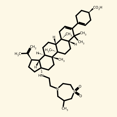 C=C(C)[C@@H]1CC[C@]2(NCCN3CCS(=O)(=O)CC(C)C3)CC[C@]3(C)[C@H](CC[C@@H]4[C@@]5(C)CC=C(C6=CC[C@H](C(=O)O)CC6)C(C)(C)[C@@H]5CC[C@]43C)[C@@H]12